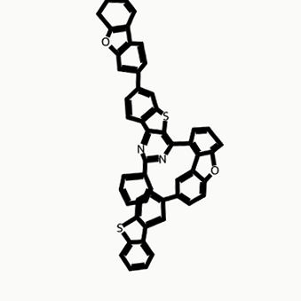 C1=Cc2c(oc3cc(-c4ccc5c(c4)sc4c(-c6cccc7oc8ccc(-c9ccc%10sc%11ccccc%11c%10c9)cc8c67)nc(-c6ccccc6)nc45)ccc23)CC1